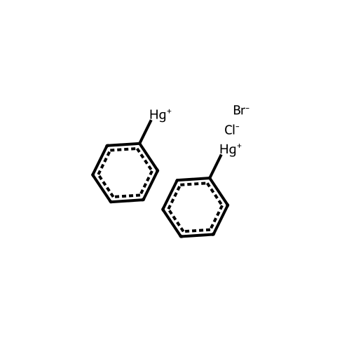 [Br-].[Cl-].[Hg+][c]1ccccc1.[Hg+][c]1ccccc1